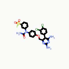 NC(=O)N(c1ccc(OCc2nc(N)nc(N)c2-c2ccc(Cl)c(Cl)c2)cc1)c1cccc(S(=O)(=O)F)c1